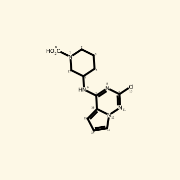 O=C(O)N1CCCC(Nc2nc(Cl)nn3cccc23)C1